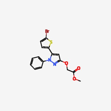 COC(=O)COc1cc(-c2ccc(Br)s2)n(-c2ccccc2)n1